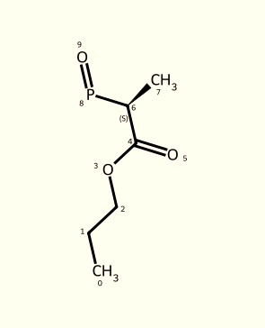 CCCOC(=O)[C@H](C)P=O